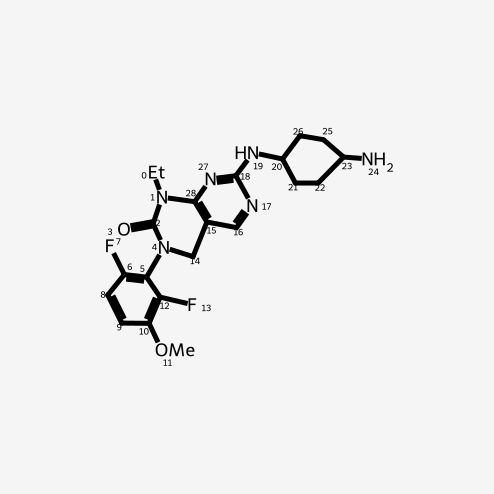 CCN1C(=O)N(c2c(F)ccc(OC)c2F)Cc2cnc(NC3CCC(N)CC3)nc21